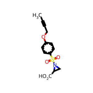 CC#CCOc1ccc(S(=O)(=O)N2CC2C(=O)O)cc1